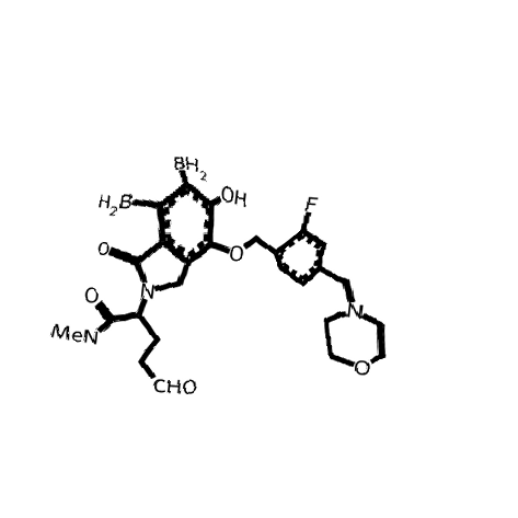 Bc1c(B)c2c(c(OCc3ccc(CN4CCOCC4)cc3F)c1O)CN(C(CCC=O)C(=O)NC)C2=O